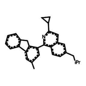 Cc1cc2c(c(-c3nc(C4CC4)cc4cc(CC(C)C)ccc34)c1)Cc1ccccc1-2